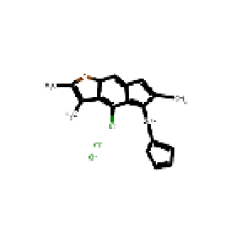 CC1=CC2=CC3SC(C)=C(C)C3=C(Br)C2=[C]1[Zr+2][C]1=CC=CC1.[Cl-].[Cl-]